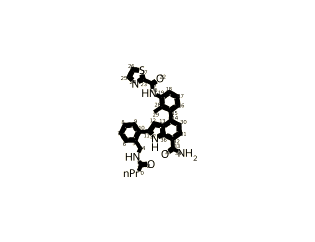 CCCC(=O)NCc1ccccc1-c1cc2c(-c3cccc(NC(=O)c4nccs4)c3C)ccc(C(N)=O)c2[nH]1